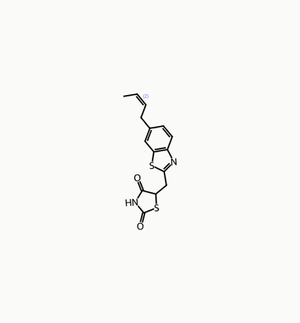 C/C=C\Cc1ccc2nc(CC3SC(=O)NC3=O)sc2c1